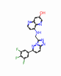 Oc1cnc2c(NCc3nnc4ccc(-c5cc(F)c(F)c(F)c5)nn34)ccnc2c1